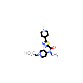 CN(C(=O)c1nnc(C2CCNCC2)s1)C1CCN(CC(=O)O)CC1